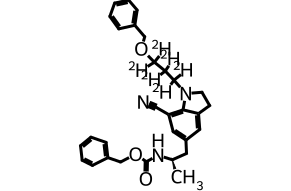 [2H]C([2H])(OCc1ccccc1)C([2H])([2H])C([2H])([2H])N1CCc2cc(C[C@@H](C)NC(=O)OCc3ccccc3)cc(C#N)c21